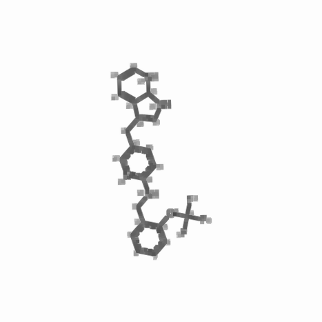 FC(F)(F)Oc1ccccc1CNc1ccc(CC2=CNC3NC=CC=C23)cn1